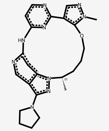 C[C@H]1CCCOc2c(cnn2C)-c2nccc(n2)Nc2cc3c(cn2)c(N2CCCC2)nn31